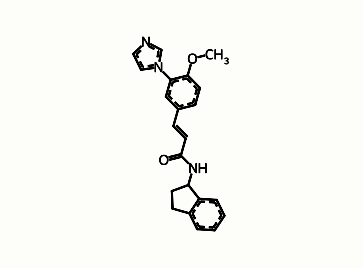 COc1ccc(C=CC(=O)NC2CCc3ccccc32)cc1-n1ccnc1